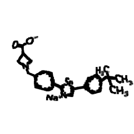 CC(C)(C)c1ccc(-c2cnc(-c3ccc(CN4CC(C(=O)[O-])C4)cc3)[se]2)cc1.[Na+]